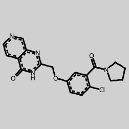 O=C(c1cc(OCc2nc3cnccc3c(=O)[nH]2)ccc1Cl)N1CCCC1